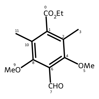 CCOC(=O)c1c(C)c(OC)c(C=O)c(OC)c1C